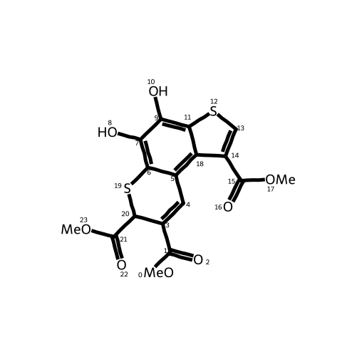 COC(=O)C1=Cc2c(c(O)c(O)c3scc(C(=O)OC)c23)SC1C(=O)OC